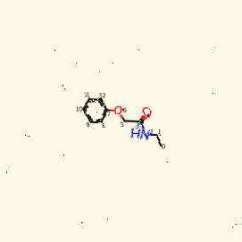 C[CH]NC(=O)COc1ccccc1